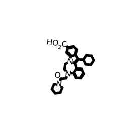 O=C(O)c1ccc2c(C3CCCCC3)c3n(c2c1)CCN(CC(=O)N1CCCCC1)c1ccccc1-3